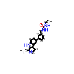 CCNC(=O)NCc1cccc(-c2ccc3[nH]c4c(C)nccc4c3c2)c1